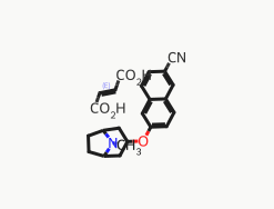 CN1C2CCC1CC(Oc1ccc3cc(C#N)ccc3c1)C2.O=C(O)/C=C/C(=O)O